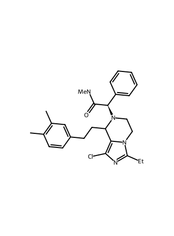 CCc1nc(Cl)c2n1CCN([C@@H](C(=O)NC)c1ccccc1)C2CCc1ccc(C)c(C)c1